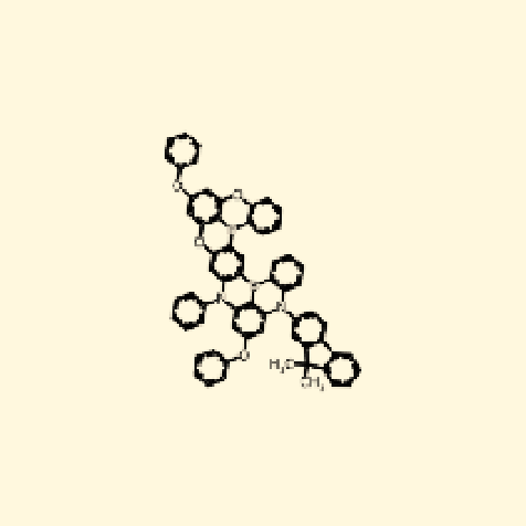 CC1(C)c2ccccc2-c2ccc(N3c4ccccc4B4c5cc6c(cc5N(c5ccccc5)c5cc(Oc7ccccc7)cc3c54)Oc3cc(Oc4ccccc4)cc4c3B6c3ccccc3O4)cc21